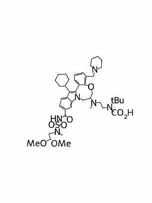 COC(CN(C)S(=O)(=O)NC(=O)c1ccc2c(C3CCCCC3)c3n(c2c1)C[C@@H](N(C)CCN(C(=O)O)C(C)(C)C)COc1c(CN2CCCCC2)cccc1-3)OC